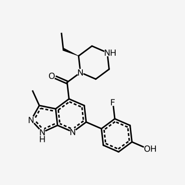 CC[C@H]1CNCCN1C(=O)c1cc(-c2ccc(O)cc2F)nc2[nH]nc(C)c12